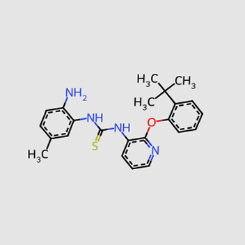 Cc1ccc(N)c(NC(=S)Nc2cccnc2Oc2ccccc2C(C)(C)C)c1